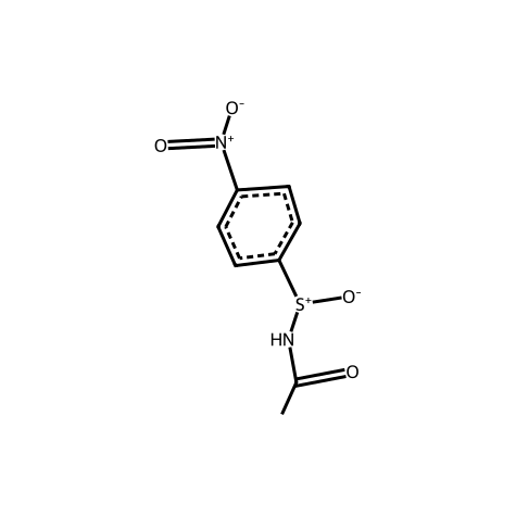 CC(=O)N[S+]([O-])c1ccc([N+](=O)[O-])cc1